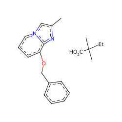 CCC(C)(C)C(=O)O.Cc1cn2cccc(OCc3ccccc3)c2n1